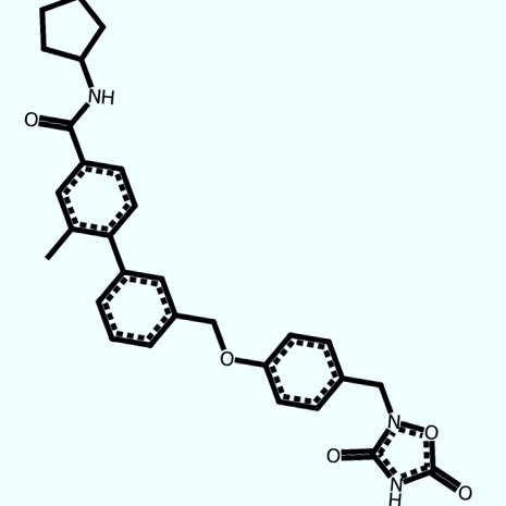 Cc1cc(C(=O)NC2CCCC2)ccc1-c1cccc(COc2ccc(Cn3oc(=O)[nH]c3=O)cc2)c1